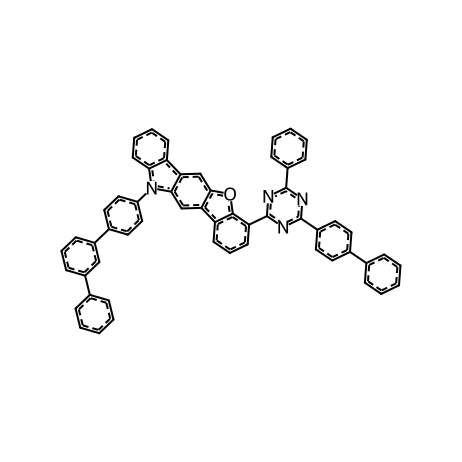 c1ccc(-c2ccc(-c3nc(-c4ccccc4)nc(-c4cccc5c4oc4cc6c7ccccc7n(-c7ccc(-c8cccc(-c9ccccc9)c8)cc7)c6cc45)n3)cc2)cc1